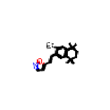 CCc1cc2c(cc1C=Cc1ccno1)C(C)(C)CCC2(C)C